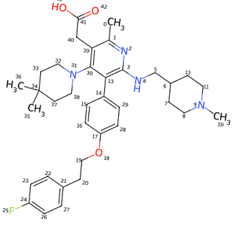 Cc1nc(NCC2CCN(C)CC2)c(-c2ccc(OCCc3ccc(F)cc3)cc2)c(N2CCC(C)(C)CC2)c1CC(=O)O